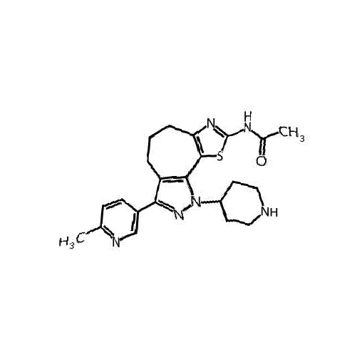 CC(=O)Nc1nc2c(s1)-c1c(c(-c3ccc(C)nc3)nn1C1CCNCC1)CCC2